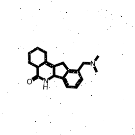 CN(C)Cc1cccc2c1CC1=C3CCCCC3C(=O)NC12